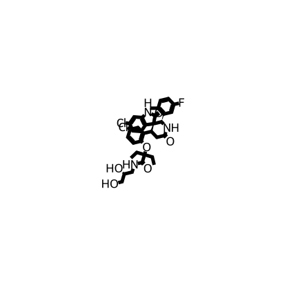 CCC(CC)(Oc1ccc(Cl)cc1C1CC(=O)N[C@@H](c2cc(F)ccc2C)[C@]12C(=O)Nc1cc(Cl)ccc12)C(=O)NC[C@H](O)CO